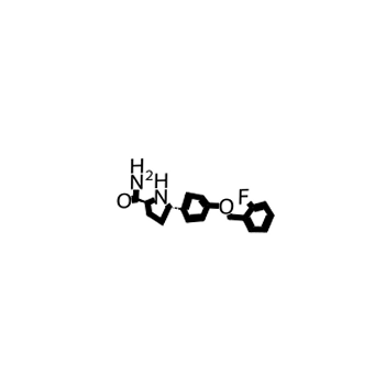 NC(=O)[C@@H]1CC[C@@H](c2ccc(OCc3ccccc3F)cc2)N1